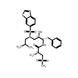 CC(C)CN(C[C@@H](O)[C@H](Cc1ccccc1)NC(=O)[C@H](C)CS(C)(=O)=O)S(=O)(=O)c1ccc2ncsc2c1